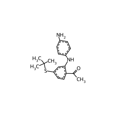 CC(=O)c1ccc(SC(C)(C)C)cc1Nc1ccc(N)cc1